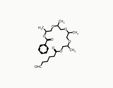 CC(COC(=O)CCCCC=O)OCC(C)OCC(C)OCC(C)OC(=O)c1ccccc1